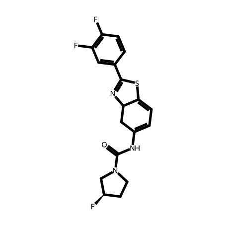 O=C(NC1=CC=C2SC(c3ccc(F)c(F)c3)=NC2C1)N1CC[C@@H](F)C1